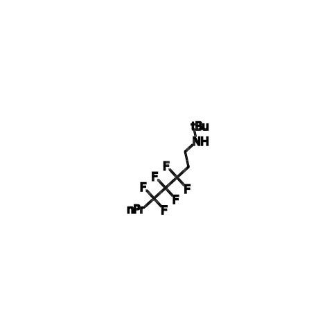 CCCC(F)(F)C(F)(F)C(F)(F)CCNC(C)(C)C